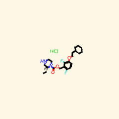 CC[C@@H]1CNCCN1C(=O)OCc1c(F)ccc(OCCC2CCCCC2)c1F.Cl